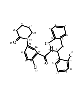 O=C(NC(Cc1ccccc1Cl)c1ccccc1Cl)c1cc(N2CCCCC2=O)ccc1Cl